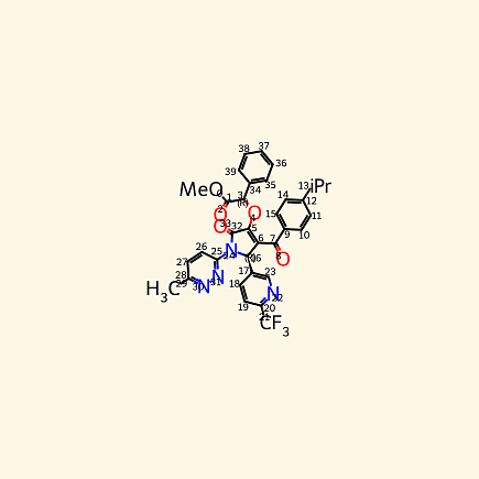 COC(=O)[C@H](OC1=C(C(=O)c2ccc(C(C)C)cc2)[C@@H](c2ccc(C(F)(F)F)nc2)N(c2ccc(C)nn2)C1=O)c1ccccc1